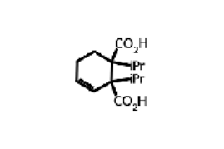 CC(C)C1(C(=O)O)C=CCCC1(C(=O)O)C(C)C